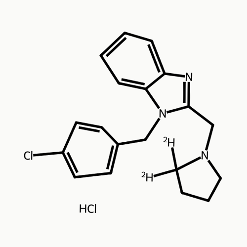 Cl.[2H]C1([2H])CCCN1Cc1nc2ccccc2n1Cc1ccc(Cl)cc1